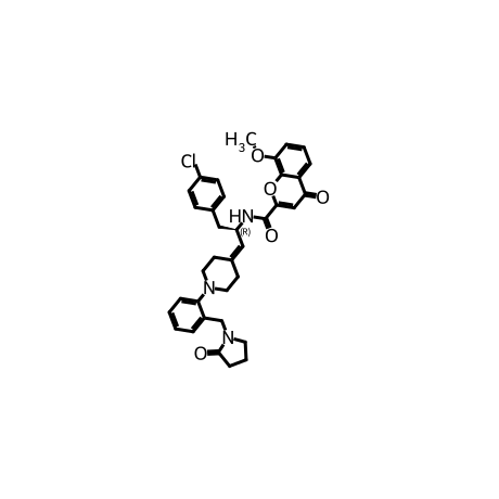 COc1cccc2c(=O)cc(C(=O)N[C@@H](C=C3CCN(c4ccccc4CN4CCCC4=O)CC3)Cc3ccc(Cl)cc3)oc12